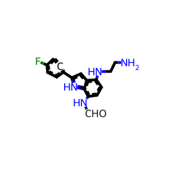 NCCNc1ccc(NC=O)c2[nH]c(-c3ccc(F)cc3)cc12